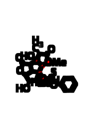 COC1OC23C(=O)OC4[C@H](O)[C@@H](C(C)(C)C)C1([C@H](C)O)C42[C@@H](OC(=S)Oc1ccccc1)C1OC(=O)[C@@H](C)[C@@]13O